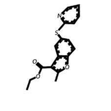 CCOC(=O)c1c(C)oc2ccc(Sc3ccccn3)cc12